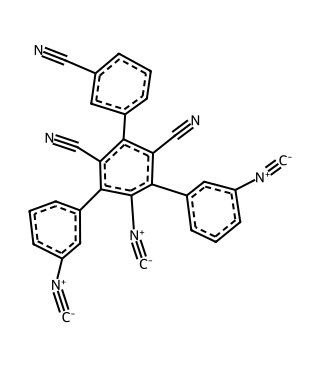 [C-]#[N+]c1cccc(-c2c(C#N)c(-c3cccc(C#N)c3)c(C#N)c(-c3cccc([N+]#[C-])c3)c2[N+]#[C-])c1